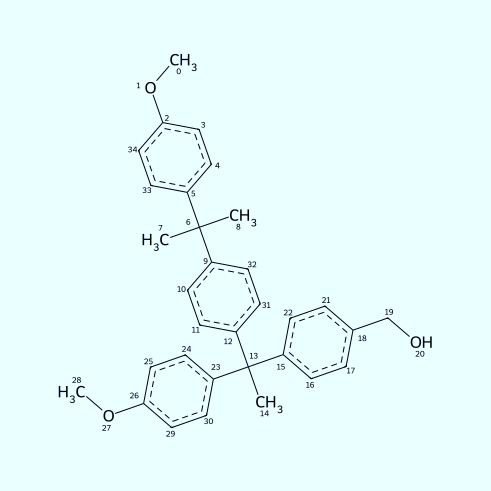 COc1ccc(C(C)(C)c2ccc(C(C)(c3ccc(CO)cc3)c3ccc(OC)cc3)cc2)cc1